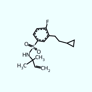 C=CC(C)(C)NS(=O)(=O)c1ccc(F)c(CCC2CC2)c1